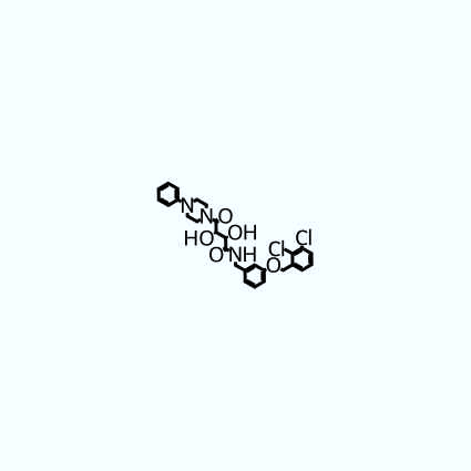 O=C(NCc1cccc(OCc2cccc(Cl)c2Cl)c1)[C@H](O)[C@@H](O)C(=O)N1CCN(c2ccccc2)CC1